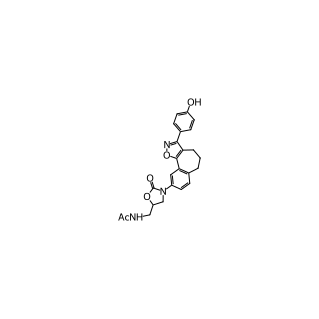 CC(=O)NCC1CN(c2ccc3c(c2)-c2onc(-c4ccc(O)cc4)c2CCC3)C(=O)O1